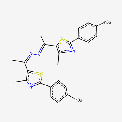 CCCCc1ccc(-c2nc(C)c(C(C)=NN=C(C)c3sc(-c4ccc(CCCC)cc4)nc3C)s2)cc1